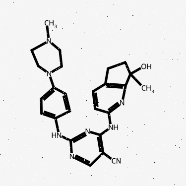 CN1CCN(c2ccc(Nc3ncc(C#N)c(Nc4ccc5c(n4)C(C)(O)CC5)n3)cc2)CC1